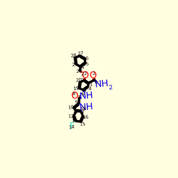 NC(=O)c1cc(NC(=O)c2cc3cc(F)ccc3[nH]2)ccc1OCc1ccccc1